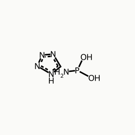 NP(O)O.c1nnn[nH]1